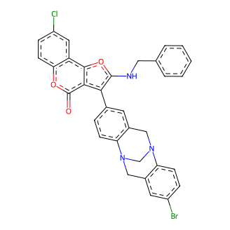 O=c1oc2ccc(Cl)cc2c2oc(NCc3ccccc3)c(-c3ccc4c(c3)CN3CN4Cc4cc(Br)ccc43)c12